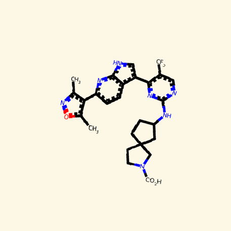 Cc1noc(C)c1-c1ccc2c(-c3nc(NC4CCC5(CCN(C(=O)O)C5)C4)ncc3C(F)(F)F)c[nH]c2n1